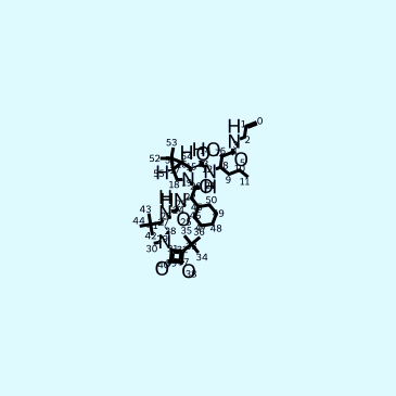 C=CCNC(=O)C(O)C(CCC)NC(=O)[C@@H]1[C@@H]2[C@H](CN1C(=O)[C@@H](NC(=O)N[C@H](CN(C)c1c(C(C)(C)C)c(=O)c1=O)C(C)(C)C)C1CCCCC1)C2(C)C